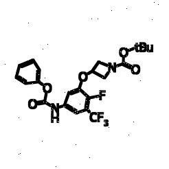 CC(C)(C)OC(=O)N1CC(Oc2cc(NC(=O)Oc3ccccc3)cc(C(F)(F)F)c2F)C1